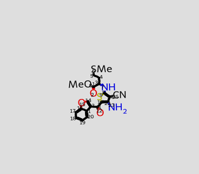 COC(=O)C(CCSC)Nc1sc(C(=O)c2coc3ccccc23)c(N)c1C#N